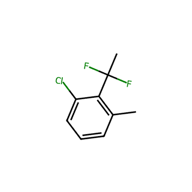 Cc1cccc(Cl)c1C(C)(F)F